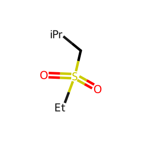 CCS(=O)(=O)CC(C)C